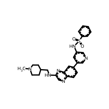 CN1CCC(CNc2cnc3ccc(-c4cncc(NS(=O)(=O)c5ccccc5)c4)cc3n2)CC1